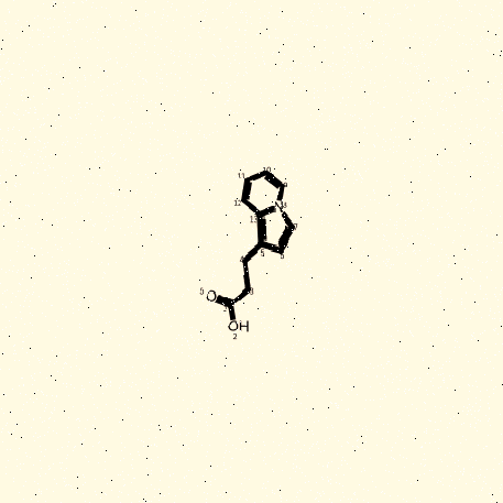 O=C(O)CCc1ccn2ccccc12